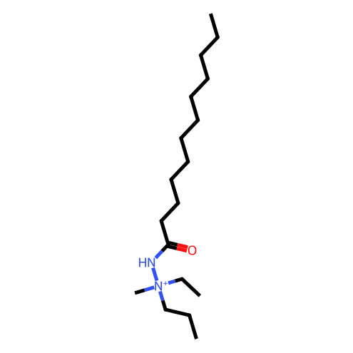 CCCCCCCCCCCC(=O)N[N+](C)(CC)CCC